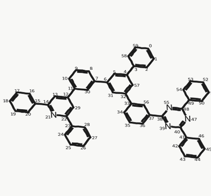 c1ccc(-c2cc(-c3cccc(-c4cc(-c5ccccc5)nc(-c5ccccc5)c4)c3)cc(-c3cccc(-c4nc(-c5ccccc5)nc(-c5ccccc5)n4)c3)c2)cc1